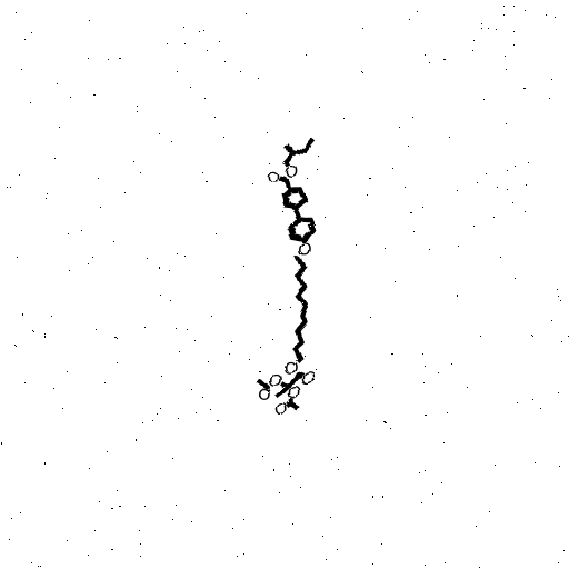 CCC(C)COC(=O)c1ccc(-c2ccc(OCCCCCCCCCCCCOC(=O)C(C)(OC(C)=O)OC(C)=O)cc2)cc1